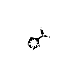 O=[N+]([O-])c1cnon1